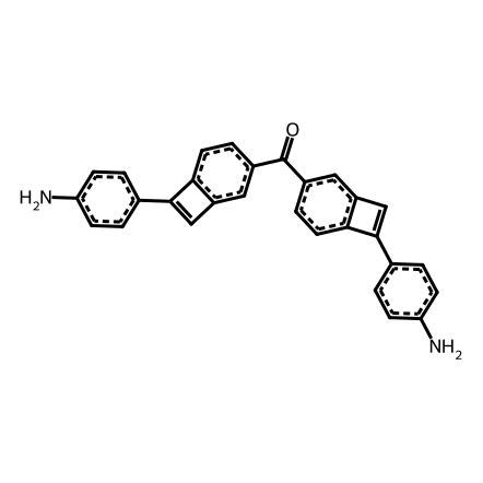 Nc1ccc(C2=Cc3cc(C(=O)c4ccc5c(c4)C=C5c4ccc(N)cc4)ccc32)cc1